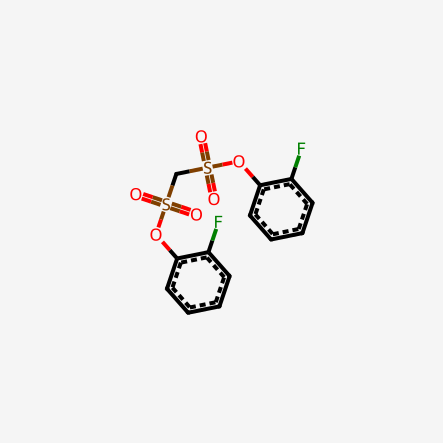 O=S(=O)(CS(=O)(=O)Oc1ccccc1F)Oc1ccccc1F